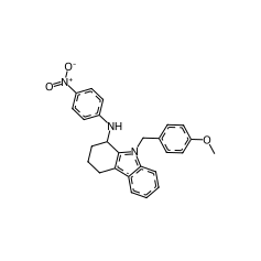 COc1ccc(Cn2c3c(c4ccccc42)CCCC3Nc2ccc([N+](=O)[O-])cc2)cc1